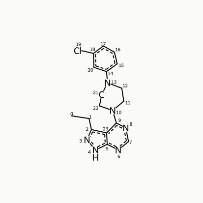 CCc1n[nH]c2ncnc(N3CCN(c4cccc(Cl)c4)CC3)c12